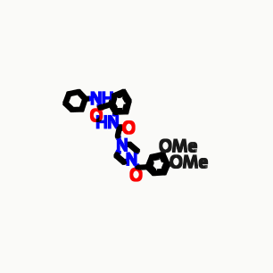 COc1ccc(C(=O)N2CCN(CC(=O)Nc3ccccc3C(=O)NC3CCCCC3)CC2)cc1OC